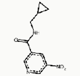 O=C(NCC1CC1)c1cncc([N+](=O)[O-])c1